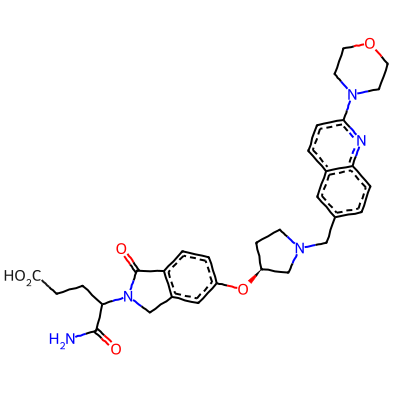 NC(=O)C(CCC(=O)O)N1Cc2cc(O[C@H]3CCN(Cc4ccc5nc(N6CCOCC6)ccc5c4)C3)ccc2C1=O